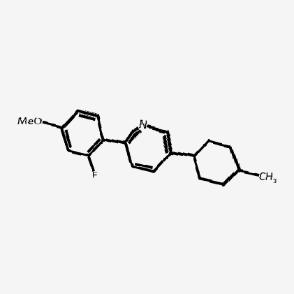 COc1ccc(-c2ccc(C3CCC(C)CC3)cn2)c(F)c1